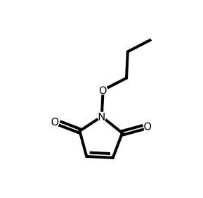 CCCON1C(=O)C=CC1=O